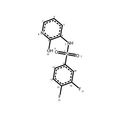 O=S(=O)(Nc1cccnc1O)c1ccc(F)c(F)c1